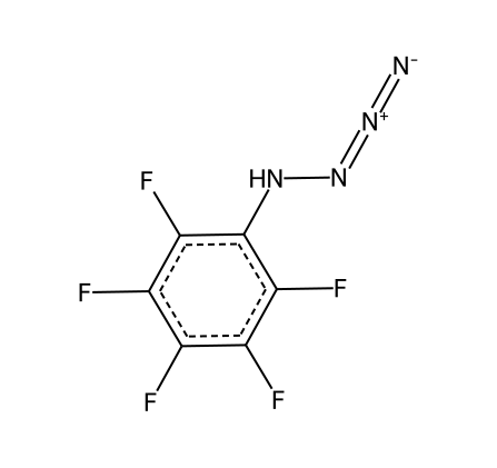 [N-]=[N+]=NNc1c(F)c(F)c(F)c(F)c1F